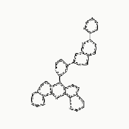 c1ccc(-c2ccc3ccc(-c4ccnc(-c5c6ccc7ccccc7c6nc6c5ccc5ccccc56)c4)cc3n2)nc1